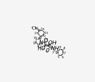 O=C(NCc1ccccc1)[C@H](O)[C@@H](O)C(=O)N1CCCC1c1cccc(Cl)c1